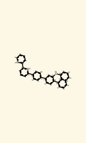 c1ccc(-c2cccc(-c3ccc(-c4ccc5c(c4)Oc4cccc6cccc-5c46)cc3)n2)nc1